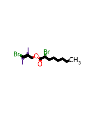 CCCCCCC(Br)C(=O)OCC(I)=C(Br)I